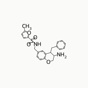 Cc1ccc(S(=O)(=O)NCc2ccc3c(c2)C(Cc2ccccc2)C(N)CO3)o1